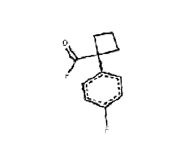 O=C(F)C1(c2ccc(F)cc2)CCC1